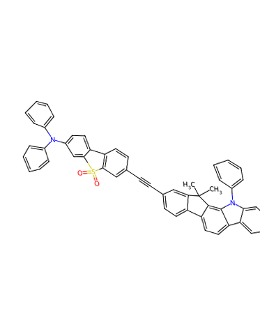 CC1(C)c2cc(C#Cc3ccc4c(c3)S(=O)(=O)c3cc(N(c5ccccc5)c5ccccc5)ccc3-4)ccc2-c2ccc3c4ccccc4n(-c4ccccc4)c3c21